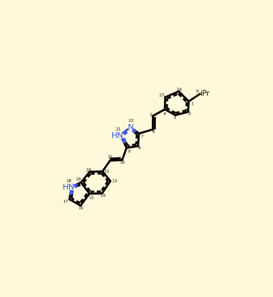 CC(C)c1ccc(/C=C/c2cc(/C=C/c3ccc4cc[nH]c4c3)[nH]n2)cc1